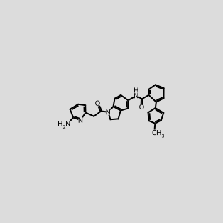 Cc1ccc(-c2ccccc2C(=O)Nc2ccc3c(c2)CCN3C(=O)Cc2cccc(N)n2)cc1